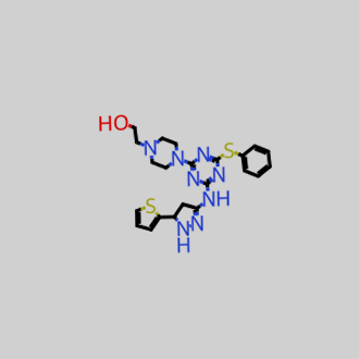 OCCN1CCN(c2nc(NC3=NNC(c4cccs4)C3)nc(Sc3ccccc3)n2)CC1